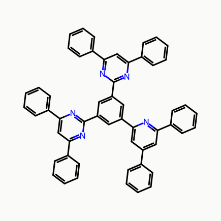 c1ccc(-c2cc(-c3ccccc3)nc(-c3cc(-c4nc(-c5ccccc5)cc(-c5ccccc5)n4)cc(-c4nc(-c5ccccc5)cc(-c5ccccc5)n4)c3)c2)cc1